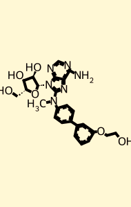 CN(c1ccc(-c2cccc(OCCO)c2)cc1)c1nc2c(N)ncnc2n1[C@@H]1O[C@H](CO)[C@@H](O)[C@H]1O